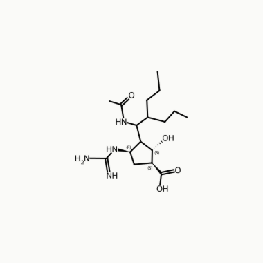 CCCC(CCC)C(NC(C)=O)C1[C@H](NC(=N)N)C[C@H](C(=O)O)[C@H]1O